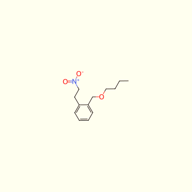 CCCCOCc1ccccc1CC[N+](=O)[O-]